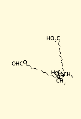 C[Si](C)(CCCCCCCCCCCOC=O)O[Si](C)(C)CCCCCCCCCCCC(=O)O